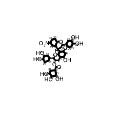 O=C(O[C@@H]1Cc2c(O)cc3c(c2O[C@@H]1c1ccc(O)c(O)c1)[C@H]1C[C@](c2ccc(O)c(O)c2)(Oc2ccc([N+](=O)[O-])cc21)O3)c1cc(O)c(O)c(O)c1